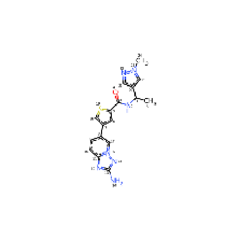 CC(NC(=O)c1cc(-c2ccc3nc(N)nn3c2)cs1)c1cnn(C)c1